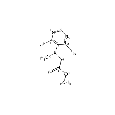 COC(=O)CC(C)c1c(I)ncnc1I